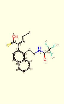 CCC=C(C(O)=S)c1ccc2ccccc2c1CCNC(=O)C(F)(F)F